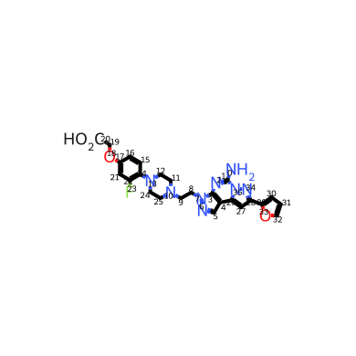 Nc1nc2c(cnn2CCN2CCN(c3ccc(OCC(=O)O)cc3F)CC2)c2cc(-c3ccco3)nn12